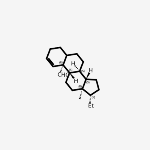 CC[C@H]1CC[C@H]2[C@@H]3CCC4CCC=C[C@]4(C=O)[C@H]3CC[C@]12C